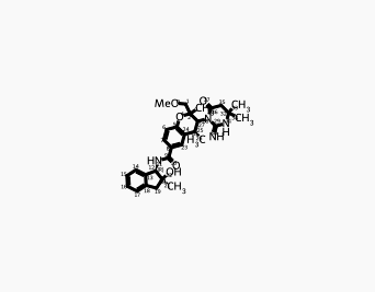 COCC1(C)Oc2ccc(C(=O)N[C@@H]3c4ccccc4C[C@]3(C)O)cc2[C@H](C)C1N1C(=N)NC(C)(C)CC1=O